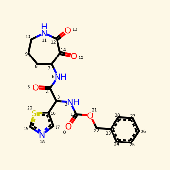 O=C(NC(C(=O)NC1CCCNC(=O)C1=O)c1cncs1)OCc1ccccc1